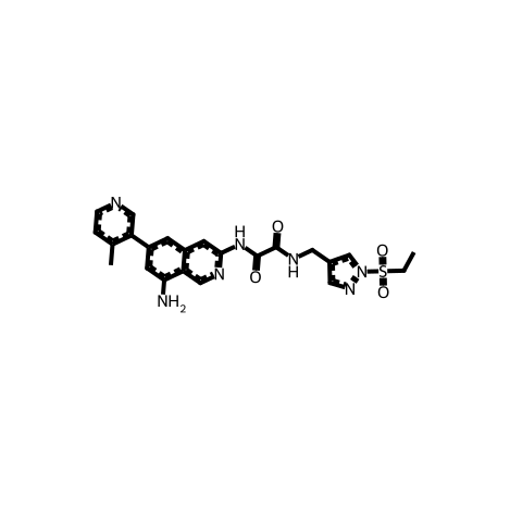 CCS(=O)(=O)n1cc(CNC(=O)C(=O)Nc2cc3cc(-c4cnccc4C)cc(N)c3cn2)cn1